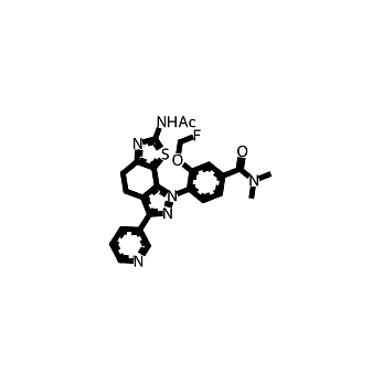 CC(=O)Nc1nc2c(s1)-c1c(c(-c3cccnc3)nn1-c1ccc(C(=O)N(C)C)cc1OCF)CC2